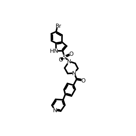 O=C(c1ccc(-c2ccncc2)cc1)N1CCN(S(=O)(=O)c2cc3cc(Br)ccc3[nH]2)CC1